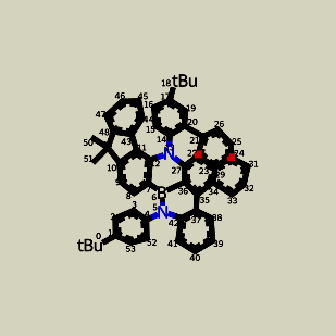 CC(C)(C)c1ccc(N2B3c4ccc5c(c4N(c4ccc(C(C)(C)C)cc4-c4ccccc4)c4cc6ccccc6c(c43)-c3ccccc32)-c2ccccc2C5(C)C)cc1